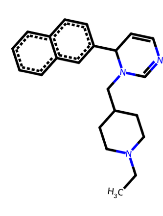 CCN1CCC(CN2C=NC=CC2c2ccc3ccccc3c2)CC1